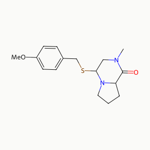 COc1ccc(CSC2CN(C)C(=O)C3CCCN23)cc1